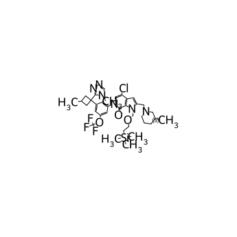 CC1CC(c2cc(OC(F)(F)F)cc(-n3cc(Cl)c4cc(CN5CCC[C@H](C)C5)n(COCC[Si](C)(C)C)c4c3=O)c2)(c2nncn2C)C1